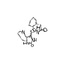 O=C1Cc2ccccc2ON1.O=c1[nH]c(=O)c2ncccc2[nH]1